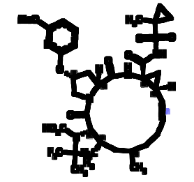 COc1cccc(O[C@@H]2C[C@H]3C(=O)N[C@]4(C(=O)NS(=O)(=O)C5(C)CC5)C[C@H]4/C=C\CC[C@@H](C)C[C@@H](C)[C@H](N(C(=O)O)C(C)(C)C(F)(F)F)C(=O)N3C2)n1